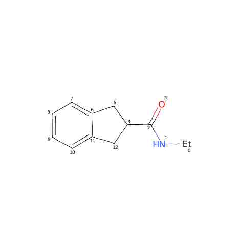 CCNC(=O)C1Cc2ccccc2C1